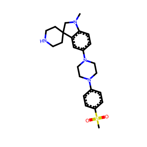 CN1CC2(CCNCC2)c2cc(N3CCN(c4ccc(S(C)(=O)=O)cc4)CC3)ccc21